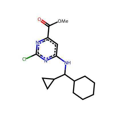 COC(=O)c1cc(NC(C2CCCCC2)C2CC2)nc(Cl)n1